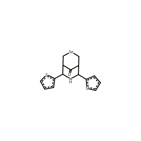 O=C1C2C[Se]CC1C(c1cccs1)NC2c1cccs1